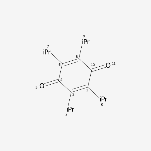 CC(C)C1=C(C(C)C)C(=O)C(C(C)C)=C(C(C)C)C1=O